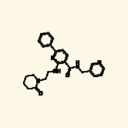 O=C(NCc1cccnc1)c1ccc(-c2ccccc2)nc1NCCN1CCCCC1=O